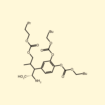 CCC(C)COC(=O)Oc1ccc(C(C(C)COC(=O)OCCC(C)C)[C@H](N)C(=O)O)cc1OC(=O)OCC(C)CC